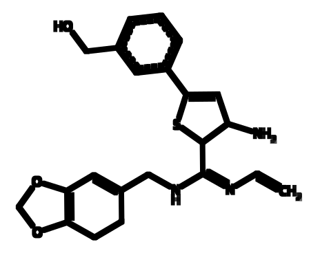 C=C/N=C(/NCC1=CC2=C(CC1)OCO2)C1SC(c2cccc(CO)c2)=CC1N